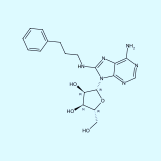 Nc1ncnc2c1nc(NCCCc1ccccc1)n2[C@@H]1O[C@H](CO)[C@@H](O)[C@H]1O